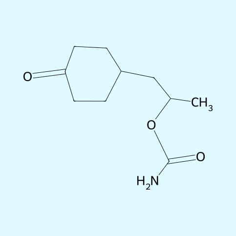 CC(CC1CCC(=O)CC1)OC(N)=O